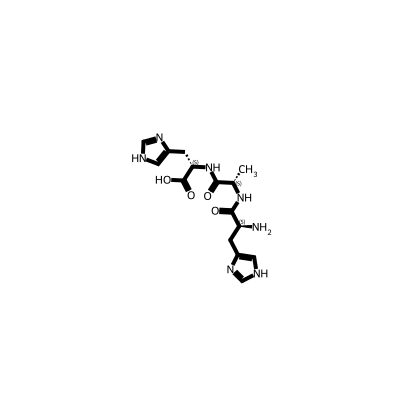 C[C@H](NC(=O)[C@@H](N)Cc1c[nH]cn1)C(=O)N[C@@H](Cc1c[nH]cn1)C(=O)O